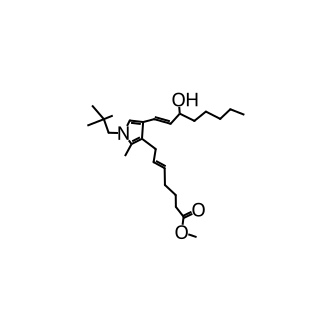 CCCCCC(O)C=Cc1cn(CC(C)(C)C)c(C)c1CC=CCCCC(=O)OC